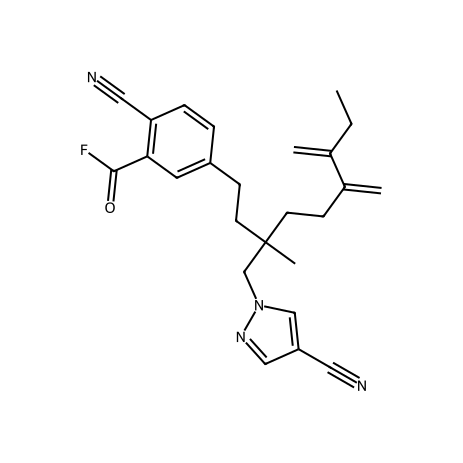 C=C(CC)C(=C)CCC(C)(CCc1ccc(C#N)c(C(=O)F)c1)Cn1cc(C#N)cn1